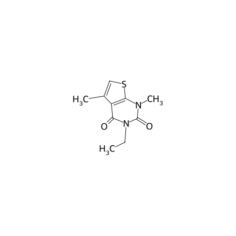 CCn1c(=O)c2c(C)csc2n(C)c1=O